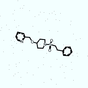 O=S(=O)(C[CH]c1ccccc1)N1CCC(OCc2ccccn2)CC1